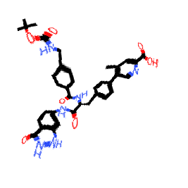 Cc1cc(C(=O)O)ncc1-c1ccc(C[C@H](NC(=O)C2CCC(CNC(=O)OC(C)(C)C)CC2)C(=O)Nc2ccc3c(=O)[nH][nH]c3c2)cc1